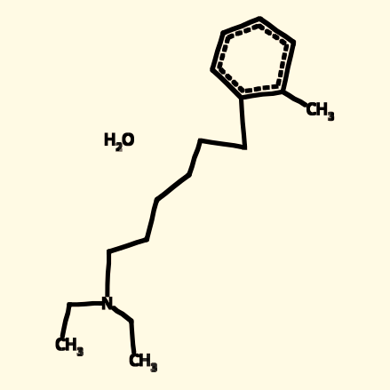 CCN(CC)CCCCCCc1ccccc1C.O